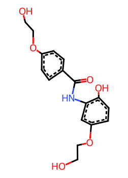 O=C(Nc1cc(OCCO)ccc1O)c1ccc(OCCO)cc1